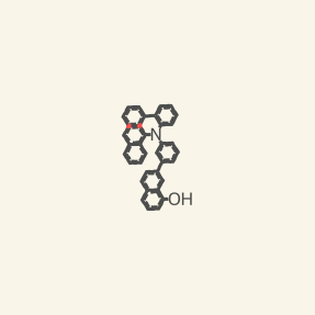 Oc1cccc2ccc(-c3cccc(N(c4ccccc4-c4ccccc4)c4cccc5ccccc45)c3)cc12